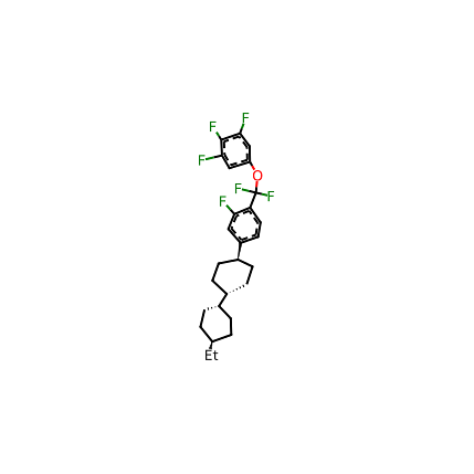 CC[C@H]1CC[C@H]([C@H]2CC[C@H](c3ccc(C(F)(F)Oc4cc(F)c(F)c(F)c4)c(F)c3)CC2)CC1